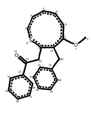 COc1cccccsc(CC(=O)c2ccccc2)c1Cc1ccccc1